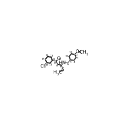 COc1ccc(CN/C(=C\C(=O)c2cccc(Cl)c2)SC)cc1